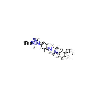 C=C1N(c2ccc(N3CCN(c4ccc(CC)c(C(F)(F)F)c4)CC3)cc2)C=NN1C(C)CC